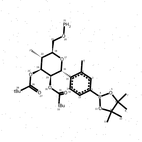 Cc1cc(B2OC(C)(C)C(C)(C)O2)ccc1[C@H]1O[C@H](COP)[C@@H](C)[C@H](OC(=O)C(C)(C)C)[C@@H]1OC(=O)C(C)(C)C